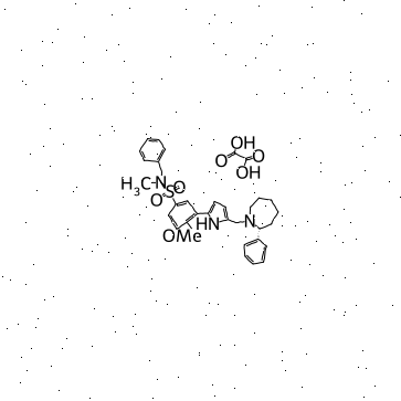 COc1ccc(S(=O)(=O)N(C)Cc2ccccc2)cc1-c1ccc(CN2CCCCC[C@@H]2c2ccccc2)[nH]1.O=C(O)C(=O)O